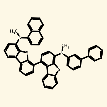 CN(c1cccc2ccccc12)c1cccc2c1sc1c(-c3ccc(N(C)c4cccc(-c5ccccc5)c4)c4sc5ccccc5c34)cccc12